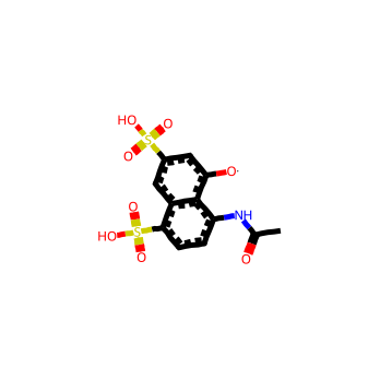 CC(=O)Nc1ccc(S(=O)(=O)O)c2cc(S(=O)(=O)O)cc([O])c12